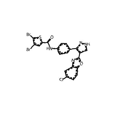 O=C(Nc1ccc(-c2n[nH]cc2-c2nc3cc(Cl)ccc3o2)cc1)c1cc(Br)c(Br)s1